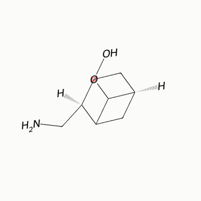 NC[C@H]1CC[C@H]2CC1C2OO